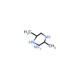 CC1CNC(C)CN1.N